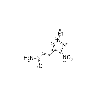 CCn1cc(C=CC(N)=O)c([N+](=O)[O-])n1